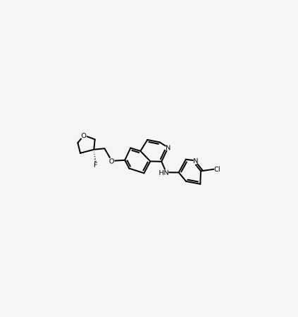 F[C@]1(COc2ccc3c(Nc4ccc(Cl)nc4)nccc3c2)CCOC1